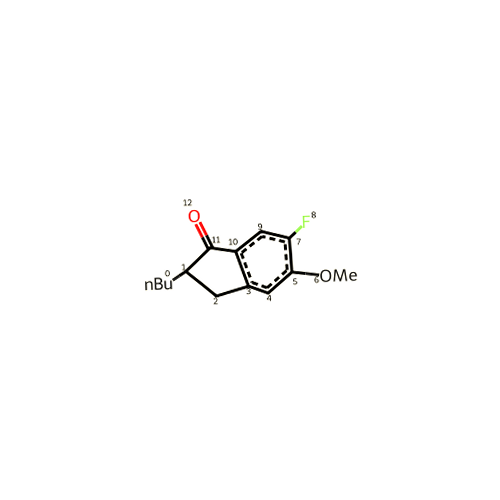 CCCCC1Cc2cc(OC)c(F)cc2C1=O